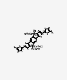 CCCCCCC1(CCCCCC)c2cc3c(cc2-c2sc(-c4ccc(C)s4)cc21)C(CCCCCC)(CCCCCC)c1cc(-c2ccc(C)s2)sc1-3